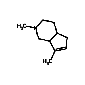 CC1=CCC2CCN(C)CC12